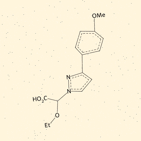 CCOC(C(=O)O)n1ccc(-c2ccc(OC)cc2)n1